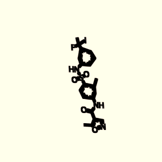 Cc1cc(NC(=O)c2cnoc2C)ccc1S(=O)(=O)Nc1cccc(C(C)(F)I)c1